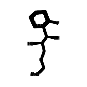 COCOC[C@@H](O)[C@H](O)c1ccccc1F